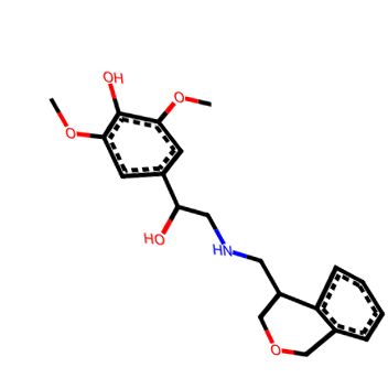 COc1cc(C(O)CNCC2COCc3ccccc32)cc(OC)c1O